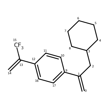 C=C(CC1CCCCC1)c1ccc(C(=C)C(F)(F)F)cc1